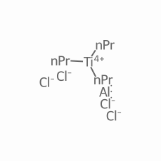 CC[CH2][Ti+4]([CH2]CC)[CH2]CC.[Al].[Cl-].[Cl-].[Cl-].[Cl-]